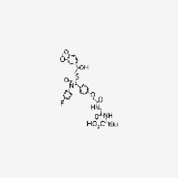 CC(C)(C)[C@@H](NC(=O)CNC(=O)COc1ccc([C@@H]2[C@@H](SC[C@H](O)c3ccc4c(c3)OCO4)C(=O)N2c2ccc(F)cc2)cc1)C(=O)O